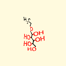 C=CCOCC(O)C(O)C(O)C(O)CO